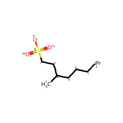 CC(C)CCCC(C)CCS([O])(=O)=O